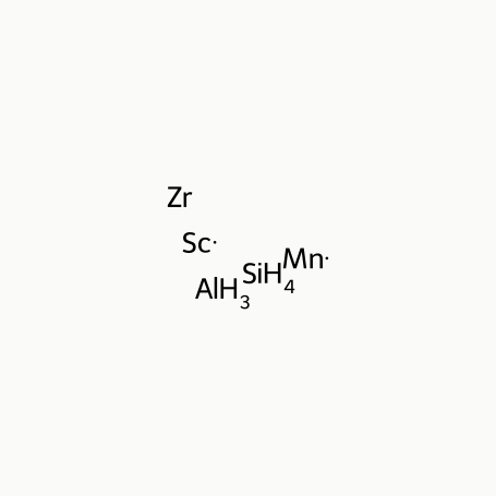 [AlH3].[Mn].[Sc].[SiH4].[Zr]